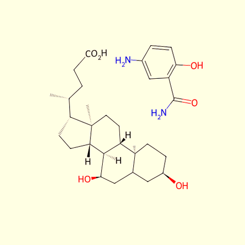 C[C@H](CCC(=O)O)[C@H]1CC[C@H]2[C@@H]3[C@H](O)CC4C[C@H](O)CC[C@]4(C)[C@H]3CC[C@]12C.NC(=O)c1cc(N)ccc1O